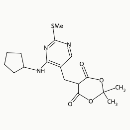 CSc1ncc(CC2C(=O)OC(C)(C)OC2=O)c(NC2CCCC2)n1